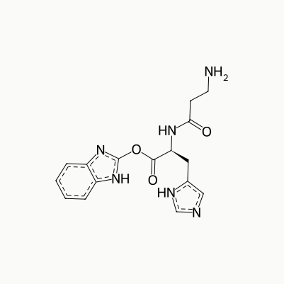 NCCC(=O)N[C@@H](Cc1cnc[nH]1)C(=O)Oc1nc2ccccc2[nH]1